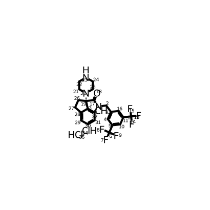 CN(Cc1cc(C(F)(F)F)cc(C(F)(F)F)c1)C(=O)[C@]1(N2CCNCC2)CCc2ccccc21.Cl.Cl